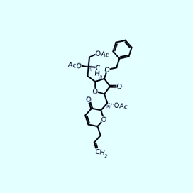 C=CCC1C=CC(=O)C([C@@H](OC(C)=O)C2OC(C[C@@](C)(COC(C)=O)OC(C)=O)C(OCc3ccccc3)C2=O)O1